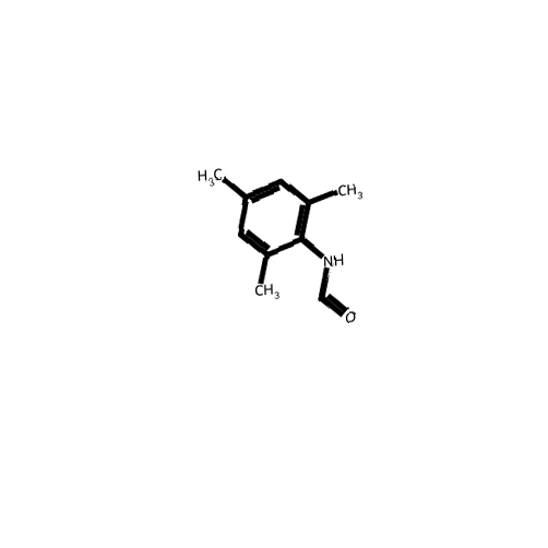 Cc1cc(C)c(NC=O)c(C)c1